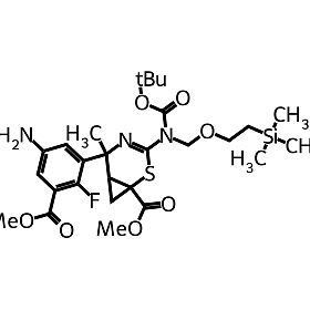 COC(=O)c1cc(N)cc(C2(C)N=C(N(COCC[Si](C)(C)C)C(=O)OC(C)(C)C)SC3(C(=O)OC)CC32)c1F